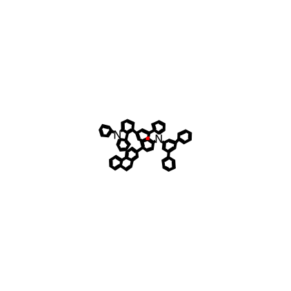 c1ccc(-c2cc(-c3ccccc3)cc(N(c3ccc(-c4ccc5c(ccc6ccccc65)c4)cc3)c3ccccc3-c3cccc(-c4cccc5c4c4ccccc4n5-c4ccccc4)c3)c2)cc1